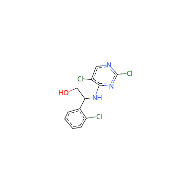 OCC(Nc1nc(Cl)ncc1Cl)c1ccccc1Cl